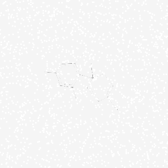 Cc1cc(C)c(C2(C)C=CC(N)=CC2)c(C)c1